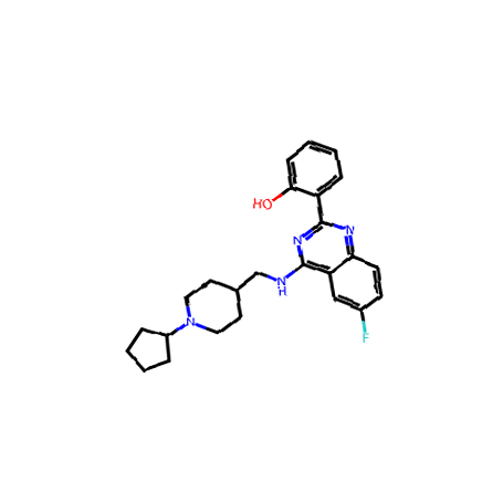 Oc1ccccc1-c1nc(NCC2CCN(C3CCCC3)CC2)c2cc(F)ccc2n1